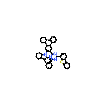 c1ccc(-c2nc(-c3cc4c5ccccc5c5ccccc5c4cc3-n3c4ccccc4c4ccccc43)nc(-c3cccc4c3sc3ccccc34)n2)cc1